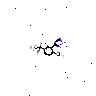 Cc1ccc(C(C)(F)F)cc1-c1cc[nH]n1